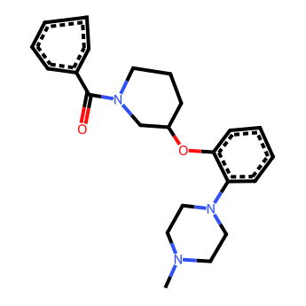 CN1CCN(c2ccccc2OC2CCCN(C(=O)c3ccccc3)C2)CC1